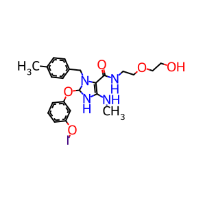 CNC1=C(C(=O)NCCOCCO)N(Cc2ccc(C)cc2)C(Oc2cccc(OI)c2)N1